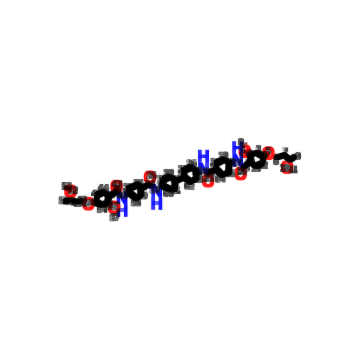 COc1cc(OCCC(C)OC)ccc1C(=O)Nc1ccc(C(=O)Nc2ccc(-c3ccc(NC(=O)c4ccc(NC(=O)c5ccc(OCCC(C)OC)cc5OC)cc4)cc3)cc2)cc1